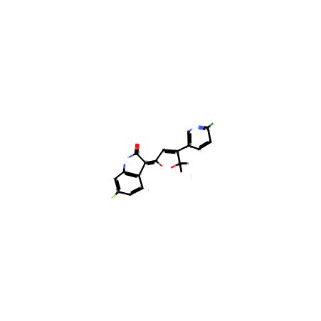 CC1(C)O/C(=C2/C(=O)Nc3cc(F)ccc32)C=C1c1ccc(Cl)nc1